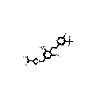 Cc1cc(CN2CC(C(=O)O)C2)cc(C)c1CCc1cc(C(F)(F)F)c(Cl)cn1